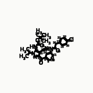 CC(C)n1nc(C(=O)c2cncc(NC(=O)Cc3ccc(Cl)cc3)c2)c(C#N)c1NC(=O)OC(C)(C)C